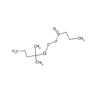 CCCC(=O)OOOC(C)(C)CCC